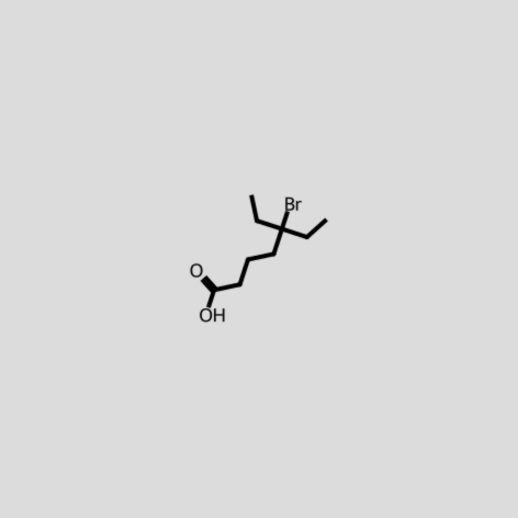 CCC(Br)(CC)CCCC(=O)O